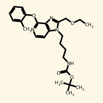 CCOCc1nc2c(Oc3ccccc3C)nccc2n1CCCCNC(=O)OC(C)(C)C